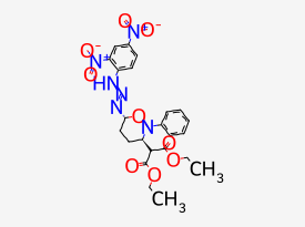 CCOC(=O)C(C(=O)OCC)[C@H]1CC[C@H](/N=N/Nc2ccc([N+](=O)[O-])cc2[N+](=O)[O-])ON1c1ccccc1